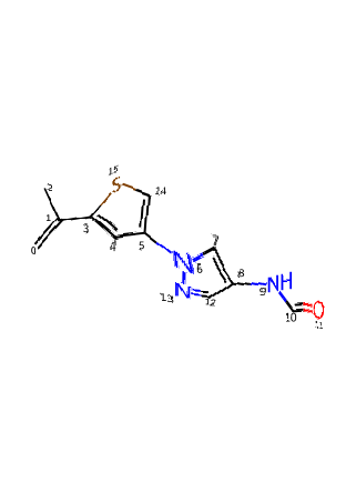 C=C(C)c1cc(-n2cc(NC=O)cn2)cs1